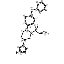 C=CC(=O)N1C[C@@H](c2cc[nH]c2)CC[C@H]1c1ccc(Oc2ccccc2)cc1